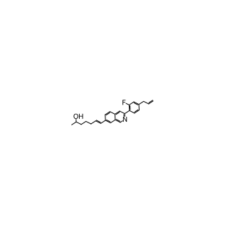 C=CCc1ccc(-c2cc3ccc(/C=C/CCCC(C)O)cc3cn2)c(F)c1